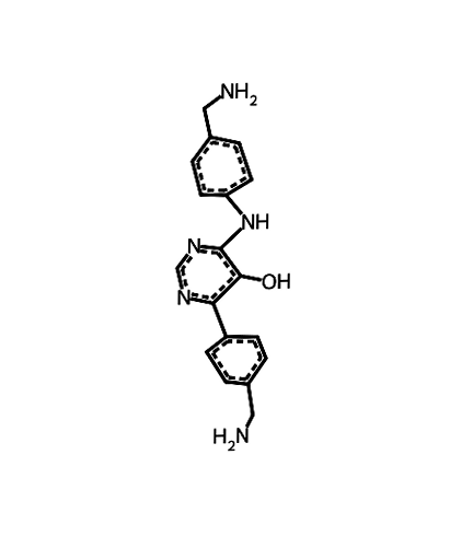 NCc1ccc(Nc2ncnc(-c3ccc(CN)cc3)c2O)cc1